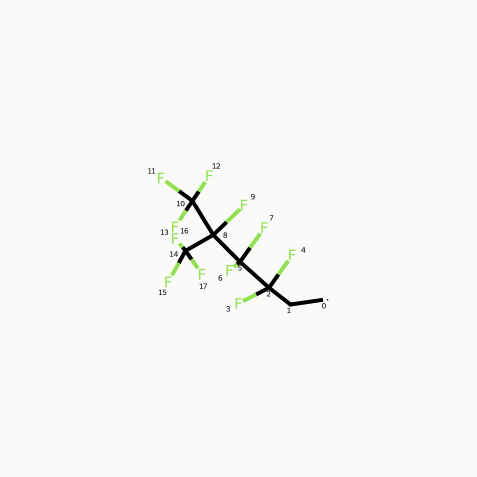 [CH2]CC(F)(F)C(F)(F)C(F)(C(F)(F)F)C(F)(F)F